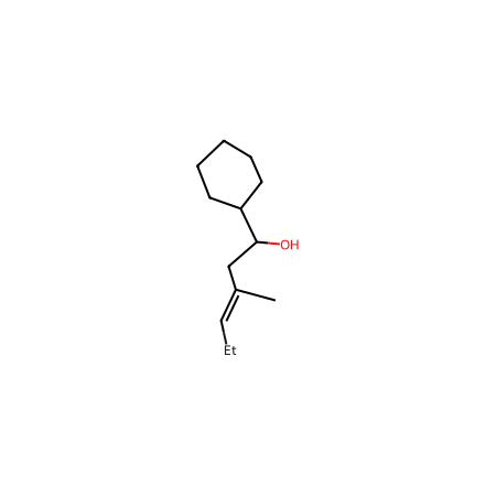 CC/C=C(\C)CC(O)C1CCCCC1